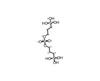 O=S(=O)(OCCC[Si](O)(O)O)OCCC[Si](O)(O)O